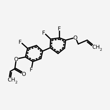 C=CCOc1ccc(-c2cc(F)c(OC(=O)C=C)c(F)c2)c(F)c1F